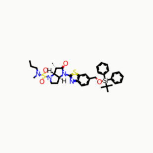 CCCN(C)S(=O)(=O)N1CC[C@H]2[C@H]1[C@H](C)C(=O)N2c1nc2ccc(CO[Si](c3ccccc3)(c3ccccc3)C(C)(C)C)cc2s1